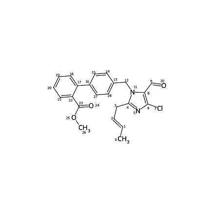 C/C=C/Cc1nc(Cl)c(C=O)n1Cc1ccc(-c2ccccc2C(=O)OC)cc1